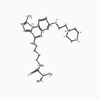 Cc1nnc2c(NCCCCNC(=O)[C@@H](O)C(C)C)nc3cc(OCCN4CCOCC4)ccc3n12